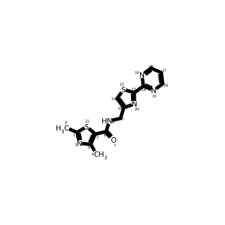 Cc1nc(C)c(C(=O)NCc2csc(-c3ncccn3)n2)s1